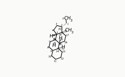 CC[C@H]1CC[C@H]2[C@@H]3CCC4CCCC[C@@H]4[C@H]3CC[C@]12C